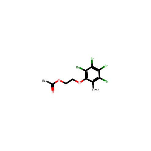 CCC(C)C(=O)OCCOc1c(Br)c(Br)c(Br)c(Br)c1OC